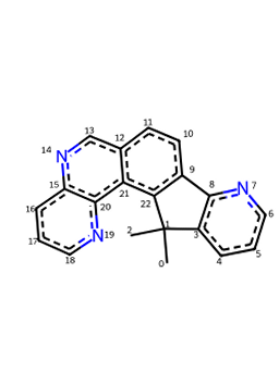 CC1(C)c2cccnc2-c2ccc3cnc4cccnc4c3c21